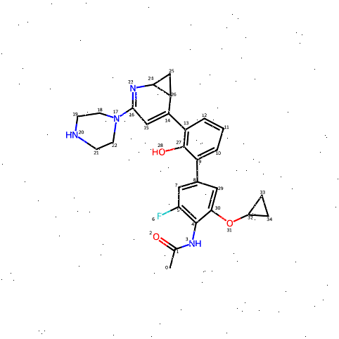 CC(=O)Nc1c(F)cc(-c2cccc(C3=CC(N4CCNCC4)=NC4CC34)c2O)cc1OC1CC1